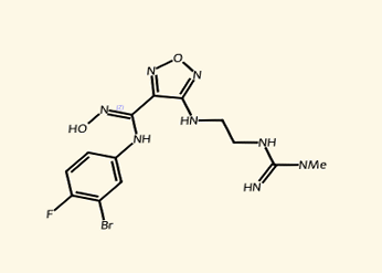 CNC(=N)NCCNc1nonc1/C(=N/O)Nc1ccc(F)c(Br)c1